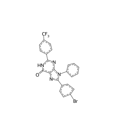 O=c1[nH]c(-c2ccc(C(F)(F)F)cc2)nc2c1nc(-c1ccc(Br)cc1)n2-c1ccccc1